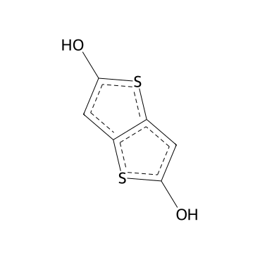 Oc1cc2sc(O)cc2s1